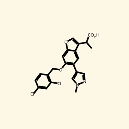 CC(C(=O)O)c1coc2cc(OCc3ccc(Cl)cc3Cl)c(-c3cnn(C)c3)cc12